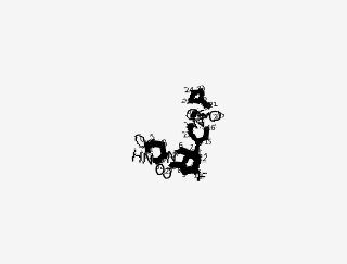 O=C1CCC(N2Cc3c(cc(F)cc3C3CCN(S(=O)(=O)CC4CCC4)CC3)C2=O)C(=O)N1